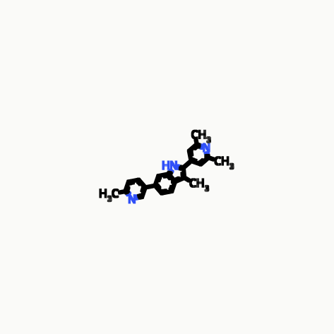 Cc1ccc(-c2ccc3c(C)c(-c4cc(C)nc(C)c4)[nH]c3c2)cn1